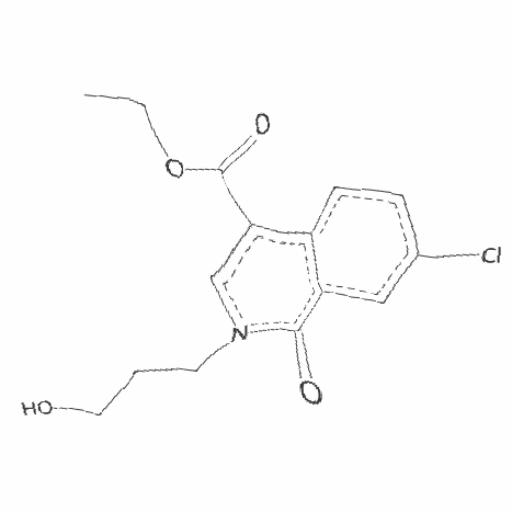 CCOC(=O)c1cn(CCCO)c(=O)c2cc(Cl)ccc12